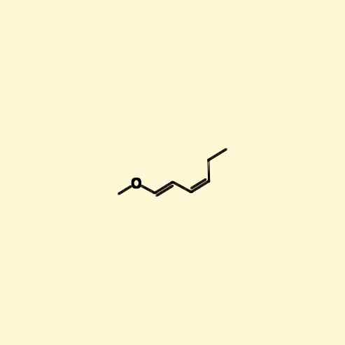 CC/C=C\C=C\OC